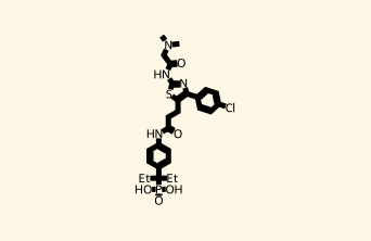 CCC(CC)(c1ccc(NC(=O)CCc2sc(NC(=O)CN(C)C)nc2-c2ccc(Cl)cc2)cc1)P(=O)(O)O